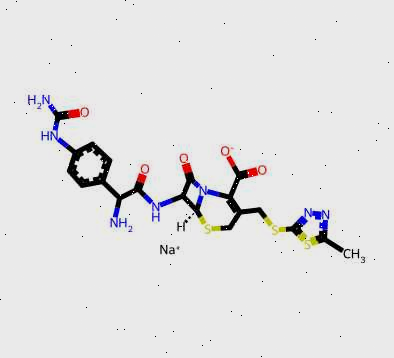 Cc1nnc(SCC2=C(C(=O)[O-])N3C(=O)C(NC(=O)C(N)c4ccc(NC(N)=O)cc4)[C@@H]3SC2)s1.[Na+]